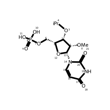 CO[C@H]1[C@@H](OC(C)C)[C@@H](COP(=O)(O)O)O[C@H]1n1ccc(=O)[nH]c1=O